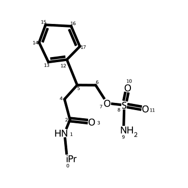 CC(C)NC(=O)CC(COS(N)(=O)=O)c1ccccc1